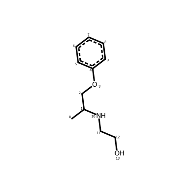 CC(COc1ccccc1)NCCO